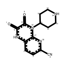 N#Cc1ccc2[nH]c(=O)c(=O)n(C3CCNCC3)c2n1